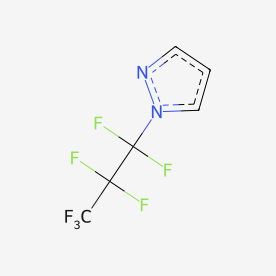 FC(F)(F)C(F)(F)C(F)(F)n1cccn1